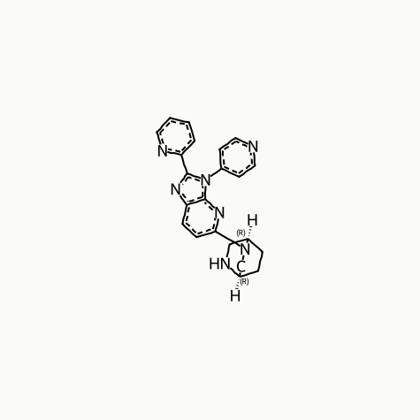 c1ccc(-c2nc3ccc(N4C[C@H]5CC[C@@H]4CN5)nc3n2-c2ccncc2)nc1